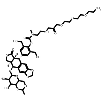 CC1OCC2OC(O[C@@H]3c4cc5c(cc4[C@@H](c4cc(CO)c(OC(=O)N(C)CCNCC(=O)COCCOCCOCCN)c(CO)c4)[C@H]4C(=O)OC[C@@H]43)OCO5)C(O)C(O)C2O1